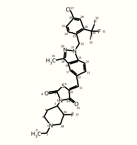 CCN1CCC(N2C(=O)SC(=Cc3ccc4c(c3)c(C)nn4Cc3ccc(Cl)cc3C(F)(F)F)C2=O)C(F)C1